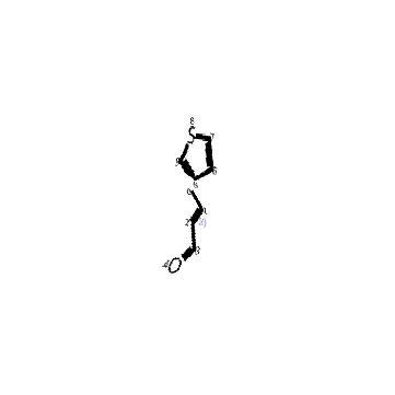 C/C=C/C=O.c1ccsc1